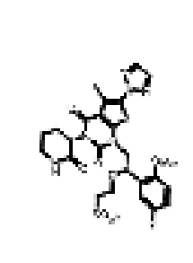 COc1ccc(F)cc1[C@H](Cn1c(=O)n([C@@H]2CCCNC2=O)c(=O)c2c(C)c(-n3nccn3)sc21)OCCC(=O)O